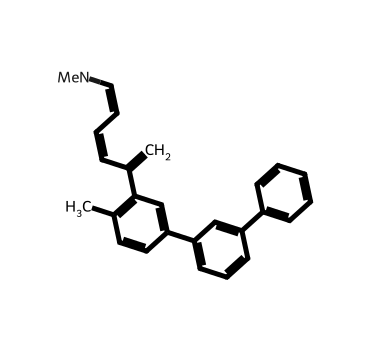 C=C(/C=C\C=C/NC)c1cc(-c2cccc(-c3ccccc3)c2)ccc1C